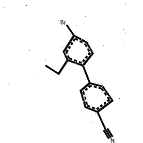 CCc1cc(Br)ccc1-c1ccc(C#N)cc1